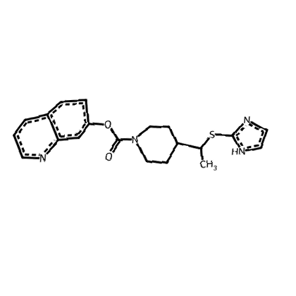 CC(Sc1ncc[nH]1)C1CCN(C(=O)Oc2ccc3cccnc3c2)CC1